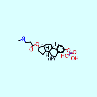 CCC[C@@H]1Cc2cc(OP(=O)(O)O)ccc2[C@H]2CC[C@]3(C)[C@@H](OC(=O)CCN(C)C)CC[C@H]3[C@H]12